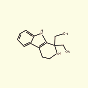 OCC1(CO)NCCc2c1[nH]c1ccccc21